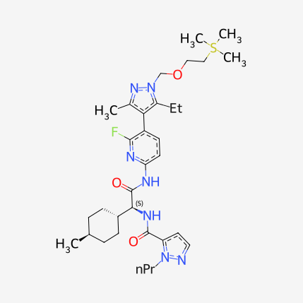 CCCn1nccc1C(=O)N[C@H](C(=O)Nc1ccc(-c2c(C)nn(COCCS(C)(C)C)c2CC)c(F)n1)[C@H]1CC[C@H](C)CC1